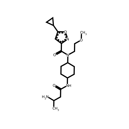 COCCN(C(=O)c1cc(C2CC2)on1)C1CCC(NC(=O)CC(C)N)CC1